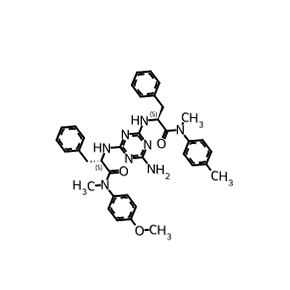 COc1ccc(N(C)C(=O)[C@H](Cc2ccccc2)Nc2nc(N)nc(N[C@@H](Cc3ccccc3)C(=O)N(C)c3ccc(C)cc3)n2)cc1